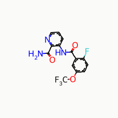 NC(=O)c1ncccc1NC(=O)c1cc(OC(F)(F)F)ccc1F